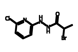 CC(Br)C(=O)NNc1cccc(Cl)n1